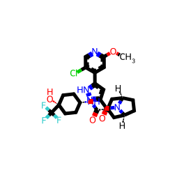 COc1cc(-c2cc(C(=O)N3[C@@H]4CC[C@H]3C[C@H](C(=O)N[C@H]3CC[C@](O)(C(F)(F)F)CC3)C4)n[nH]2)c(Cl)cn1